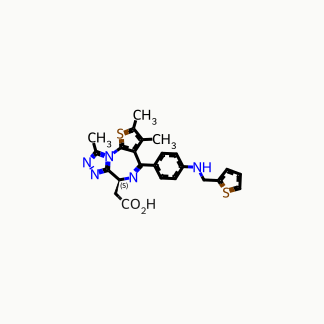 Cc1sc2c(c1C)C(c1ccc(NCc3cccs3)cc1)=N[C@@H](CC(=O)O)c1nnc(C)n1-2